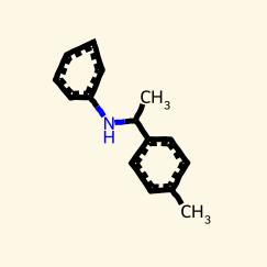 Cc1ccc(C(C)Nc2ccccc2)cc1